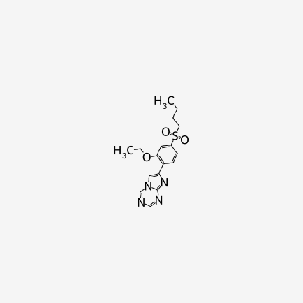 CCCCS(=O)(=O)c1ccc(-c2cn3cncnc3n2)c(OCC)c1